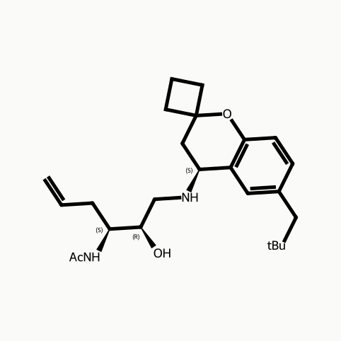 C=CC[C@H](NC(C)=O)[C@H](O)CN[C@H]1CC2(CCC2)Oc2ccc(CC(C)(C)C)cc21